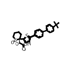 CC(C)(C)c1ccc(-c2ccc(-c3ccc([C@@]4(CC(=O)O)CCCCS4(=O)=O)s3)cc2)cc1